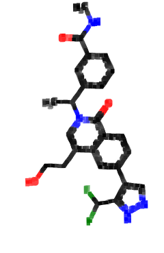 CNC(=O)c1cccc(C(C)n2cc(CCO)c3cc(-c4cn[nH]c4C(F)F)ccc3c2=O)c1